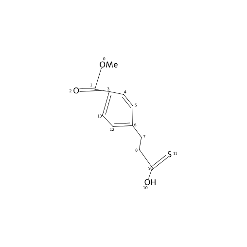 COC(=O)c1ccc(CCC(O)=S)cc1